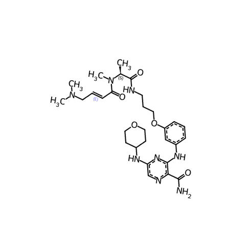 C[C@@H](C(=O)NCCCOc1cccc(Nc2nc(NC3CCOCC3)cnc2C(N)=O)c1)N(C)C(=O)/C=C/CN(C)C